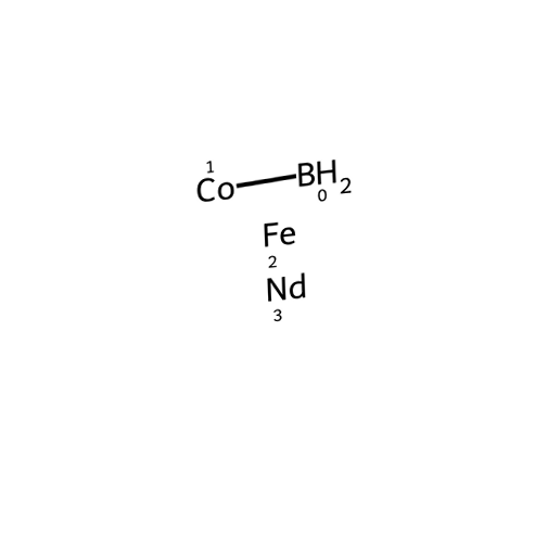 [BH2][Co].[Fe].[Nd]